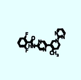 CC1=C(c2cnc(NC(=O)c3c(F)cccc3F)cn2)CN(c2ncccn2)CC1